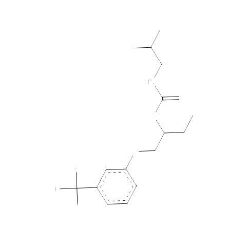 CCC(COc1cccc(C(F)(F)F)c1)OC(=O)NCC(C)O